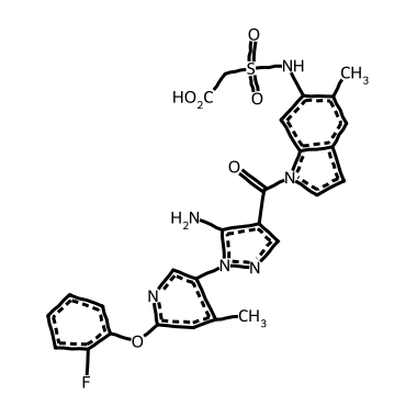 Cc1cc2ccn(C(=O)c3cnn(-c4cnc(Oc5ccccc5F)cc4C)c3N)c2cc1NS(=O)(=O)CC(=O)O